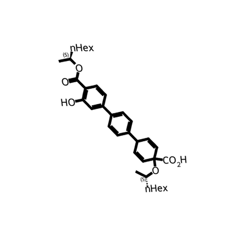 CCCCCC[C@H](C)OC(=O)c1ccc(-c2ccc(C3C=CC(O[C@@H](C)CCCCCC)(C(=O)O)C=C3)cc2)cc1O